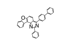 c1ccc(-c2ccc(-c3nc(-c4ccccc4)nc4c3ccc3oc5ccccc5c34)cc2)cc1